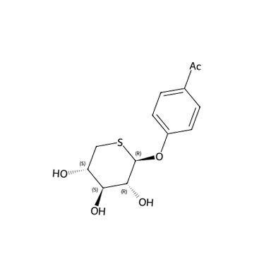 CC(=O)c1ccc(O[C@@H]2SC[C@@H](O)[C@H](O)[C@H]2O)cc1